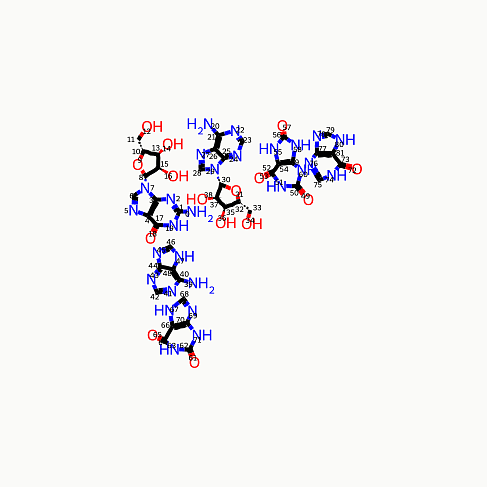 Nc1nc2c(ncn2[C@@H]2O[C@H](CO)[C@@H](O)[C@H]2O)c(=O)[nH]1.Nc1ncnc2c1ncn2[C@@H]1O[C@H](CO)[C@@H](O)[C@H]1O.Nc1ncnc2nc[nH]c12.O=c1[nH]c(=O)c2[nH]c(=O)[nH]c2[nH]1.O=c1[nH]c(=O)c2[nH]cnc2[nH]1.O=c1[nH]cnc2nc[nH]c12